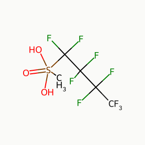 CS(=O)(O)(O)C(F)(F)C(F)(F)C(F)(F)C(F)(F)F